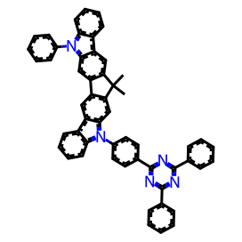 CC1(C)c2cc3c4ccccc4n(-c4ccccc4)c3cc2-c2cc3c4ccccc4n(-c4ccc(-c5nc(-c6ccccc6)nc(-c6ccccc6)n5)cc4)c3cc21